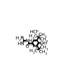 CC(C)(C)c1cc(C(=O)NC(=N)N)cc(C(C)(C)C)c1O.Cl